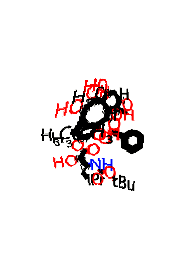 CC1=C2[C@H](O)[C@H](O)[C@@]3(C)[C@H]([C@H](OC(=O)c4ccccc4)[C@](O)(C[C@@H]1OC(=O)[C@H](O)[C@H](CC(C)C)NC(=O)OC(C)(C)C)C2(C)C)[C@]1(O)CO[C@@H]1C[C@@H]3O